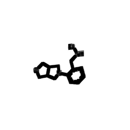 CCNCc1ccccc1N1CC2COCC2C1